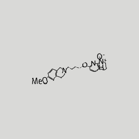 COc1ccc2c(c1)CCN(CCCCOc1ccc3c(n1)[NH+]([O-])CCC3)C2